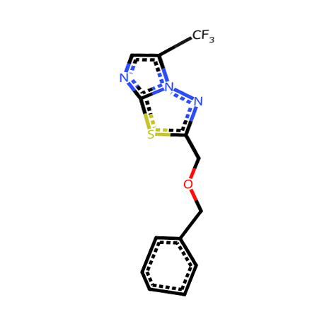 FC(F)(F)c1cnc2sc(COCc3ccccc3)nn12